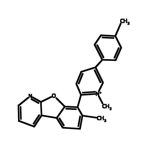 Cc1ccc(-c2ccc(-c3c(C)ccc4c3oc3ncccc34)[n+](C)c2)cc1